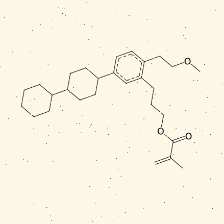 C=C(C)C(=O)OCCCc1cc(C2CCC(C3CCCCC3)CC2)ccc1CCOC